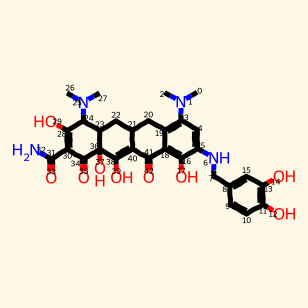 CN(C)c1cc(NCc2ccc(O)c(O)c2)c(O)c2c1CC1CC3C(N(C)C)C(O)=C(C(N)=O)C(=O)C3(O)C(O)=C1C2=O